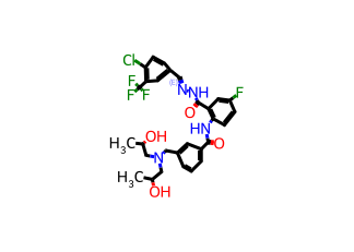 CC(O)CN(Cc1cccc(C(=O)Nc2ccc(F)cc2C(=O)N/N=C/c2ccc(Cl)c(C(F)(F)F)c2)c1)CC(C)O